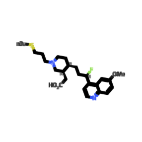 CCCCSCCCN1CC[C@@H](CC[C@@H](F)c2ccnc3ccc(OC)cc23)[C@@H](CC(=O)O)C1